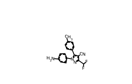 Cc1ccc(-c2c(C#N)c(C(F)F)nn2-c2ccc(N)cc2)cc1